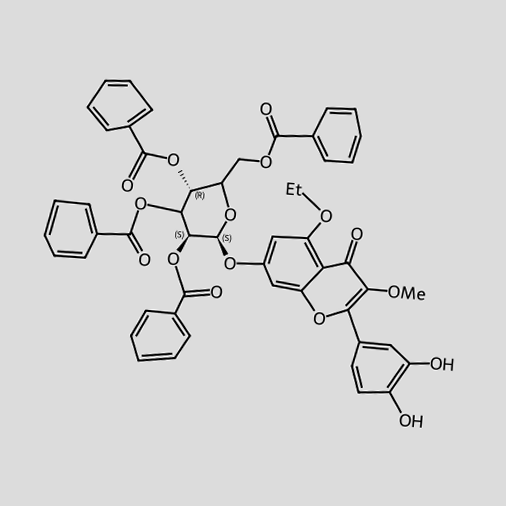 CCOc1cc(O[C@@H]2OC(COC(=O)c3ccccc3)[C@@H](OC(=O)c3ccccc3)C(OC(=O)c3ccccc3)[C@@H]2OC(=O)c2ccccc2)cc2oc(-c3ccc(O)c(O)c3)c(OC)c(=O)c12